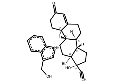 C#C[C@]1(O)CC[C@H]2[C@@H]3CCC4=CC(=O)CC[C@@H]4[C@H]3CC[C@@]21CC.OCc1c[nH]c2ccccc12